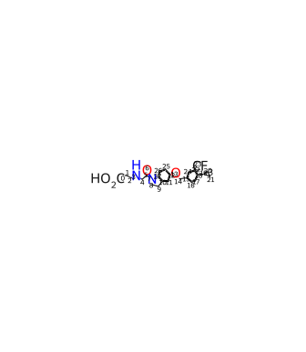 O=C(O)CCNCC(=O)N1CCc2cc(OCc3ccc(C4CC4)c(C(F)(F)F)c3)ccc21